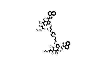 CCC(NC(=O)C(C)NC)C(=O)N1C[C@@H](OCCCN2CCN(CCCO[C@H]3C[C@@H](C(=O)N[C@@H]4CCCc5ccccc54)N(C(=O)C(CC)NC(=O)C(C)NC)C3)CC2)C[C@H]1C(=O)N[C@@H]1CCCc2ccccc21